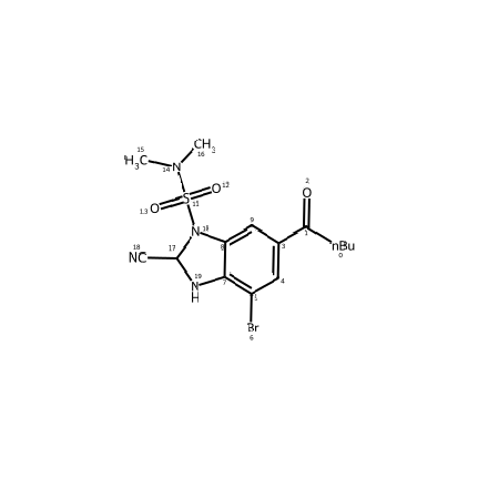 CCCCC(=O)c1cc(Br)c2c(c1)N(S(=O)(=O)N(C)C)C(C#N)N2